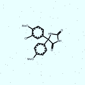 COc1ccc(C2(c3ccc(OC)c(Cl)c3)NC(=O)NC2=O)cc1